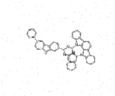 c1ccc(-c2ccc3oc4cc(-c5nc(-c6ccccc6)nc(-n6c7ccccc7c7ccc8c9ccccc9n(-c9ccccc9)c8c76)n5)ccc4c3c2)cc1